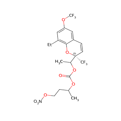 CCc1cc(OC(F)(F)F)cc2c1O[C@@](C(C)OC(=O)OC(C)CCO[N+](=O)[O-])(C(F)(F)F)C=C2